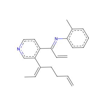 C=CCC/C(=C/C)c1cnccc1/C(C=C)=N/c1ccccc1C